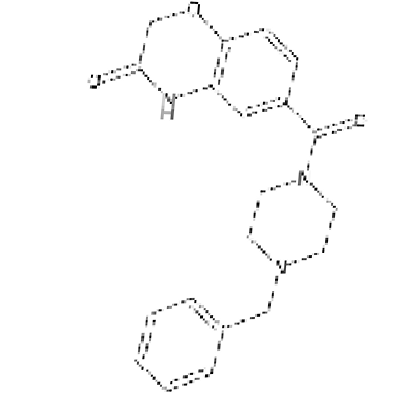 O=C1COc2ccc(C(=O)N3CCN(Cc4ccccc4)CC3)cc2N1